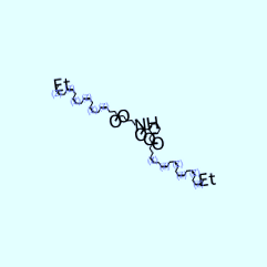 CC/C=C\C/C=C\C/C=C\C/C=C\C/C=C\C/C=C\CCC(=O)OCCCNC(=O)c1ccccc1OC(=O)CC/C=C\C/C=C\C/C=C\C/C=C\C/C=C\C/C=C\CC